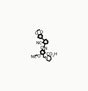 N#CCOc1cc2oc(-c3cccc(-c4ccc5c(c4)OCCO5)c3C#N)nc2cc1CN1CCCC[C@H]1C(=O)O